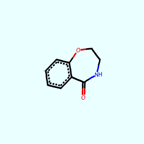 O=C1NCCOc2c[c]ccc21